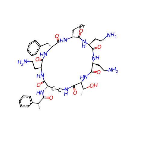 CC(C)C[C@@H]1NC(=O)[C@@H](Cc2ccccc2)NC(=O)[C@H](CCN)NC(=O)[C@@H](NC(=O)[C@H](C)c2ccccc2)CCNC(=O)[C@H]([C@@H](C)O)NC(=O)[C@H](CCN)NC(=O)[C@H](CCN)NC1=O